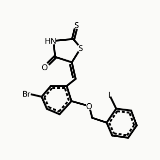 O=C1NC(=S)SC1=Cc1cc(Br)ccc1OCc1ccccc1I